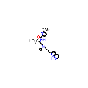 COc1cccc(C(=O)N[C@@H](CCN(CCCCc2ccc3c(n2)NCCC3)C2CC2)C(=O)O)n1